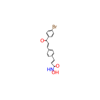 O=C(/C=C/c1ccc(/C=C/C(=O)c2ccc(Br)cc2)cc1)NO